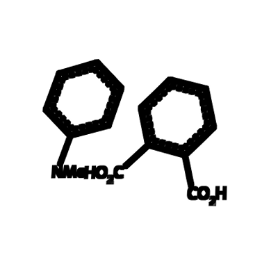 CNc1ccccc1.O=C(O)c1ccccc1C(=O)O